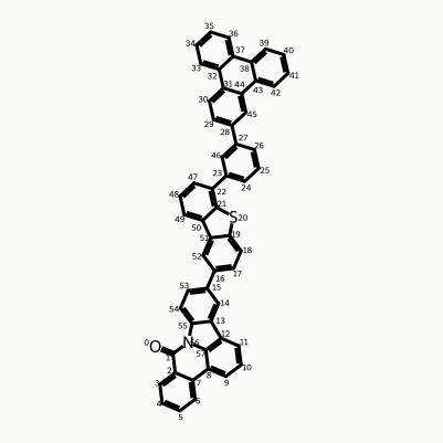 O=c1c2ccccc2c2cccc3c4cc(-c5ccc6sc7c(-c8cccc(-c9ccc%10c%11ccccc%11c%11ccccc%11c%10c9)c8)cccc7c6c5)ccc4n1c23